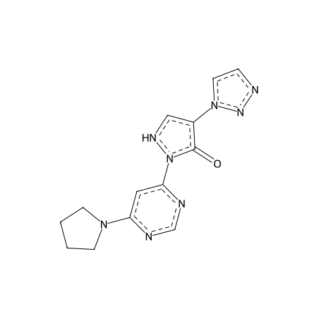 O=c1c(-n2ccnn2)c[nH]n1-c1cc(N2CCCC2)ncn1